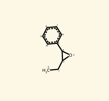 CCC1OC1c1ccccc1